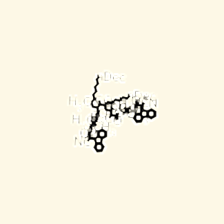 CCCCCCCCCCCCCCCCC(C)CC(C(=O)OCC(C)(C)COC(=O)C(C#N)=C1c2ccccc2-c2ccccc21)C(C(=O)O)C(CCCCCCCCCCCCCCCC)CC(C(=O)O)C(C)C(=O)OCC(C)(C)COC(=O)C(C#N)=C1c2ccccc2-c2ccccc21